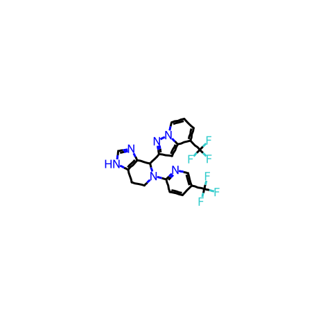 FC(F)(F)c1ccc(N2CCc3[nH]cnc3C2c2cc3c(C(F)(F)F)cccn3n2)nc1